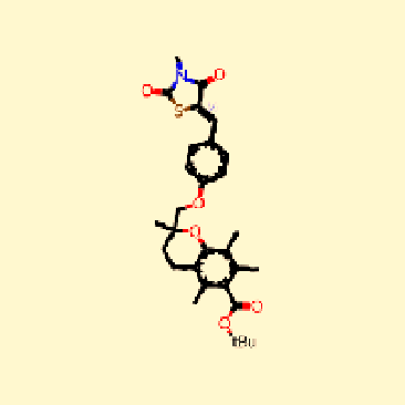 Cc1c(C)c(C(=O)OC(C)(C)C)c(C)c2c1OC(C)(COc1ccc(/C=C3\SC(=O)N(C)C3=O)cc1)CC2